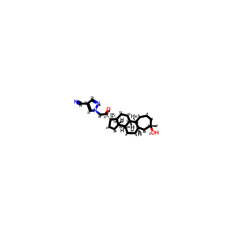 C[C@]1(O)CCC[C@H]2[C@H](CC[C@@H]3[C@@H]2CC[C@]2(C)[C@@H](C(=O)Cn4cc(C#N)cn4)CC[C@@H]32)C1